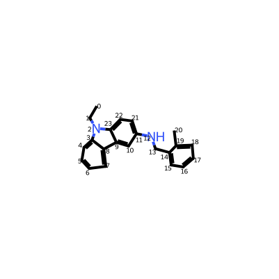 CCn1c2ccccc2c2cc(NCc3ccccc3C)ccc21